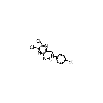 CCc1ccc(/N=C/c2nc(Cl)c(Cl)nc2N)cc1